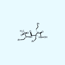 CC(C)CC[C@H](C(=O)NO)[C@@H](CC(C)C)C(=O)NN(CC(C)C)S(C)(=O)=O